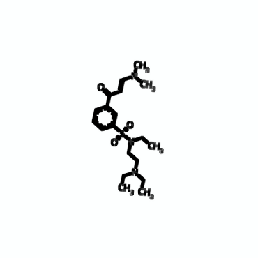 CCN(CC)CCN(CC)S(=O)(=O)c1cccc(C(=O)C=CN(C)C)c1